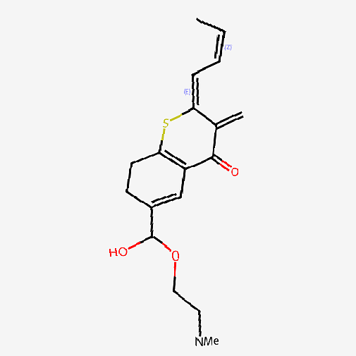 C=c1c(=O)c2c(s/c1=C/C=C\C)CCC(C(O)OCCNC)=C2